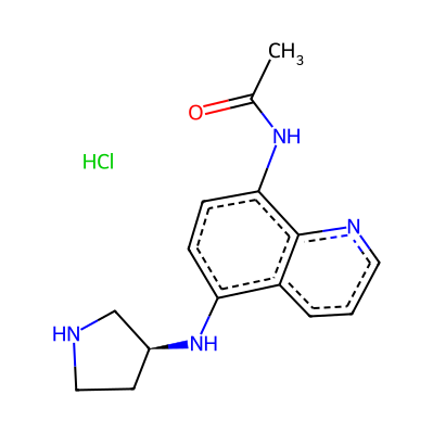 CC(=O)Nc1ccc(N[C@H]2CCNC2)c2cccnc12.Cl